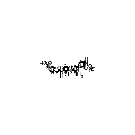 CC1(NC(=O)OC(C)(C)C)CCN(c2cnc(Sc3cccc(NC(=O)CN4CCN(CC(=O)O)CC4)c3Cl)c(N)n2)CC1